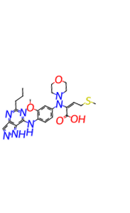 CCCc1nc(Nc2ccc(N(C(=CCSC)C(=O)O)N3CCOCC3)cc2OC)c2[nH]ncc2n1